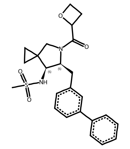 CS(=O)(=O)N[C@@H]1[C@H](Cc2cccc(-c3ccccc3)c2)N(C(=O)C2CCO2)CC12CC2